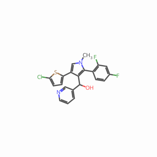 Cn1cc(-c2ccc(Cl)s2)c(C(O)c2cccnc2)c1-c1ccc(F)cc1F